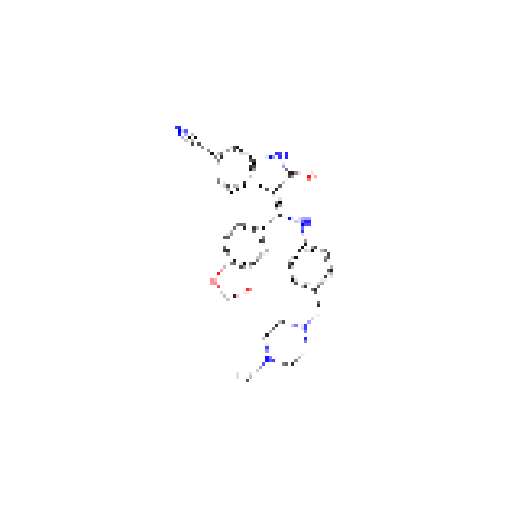 CN1CCN(Cc2ccc(N/C(=C3\C(=O)Nc4cc(C#N)ccc43)c3ccc4c(c3)OCO4)cc2)CC1